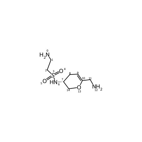 NCCS(=O)(=O)N[C@@H]1CC=C(CN)OC1